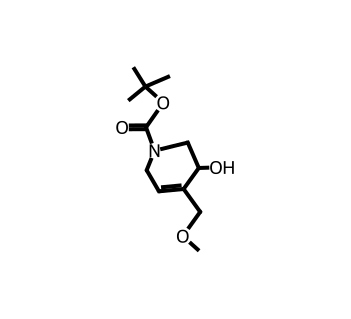 COCC1=CCN(C(=O)OC(C)(C)C)CC1O